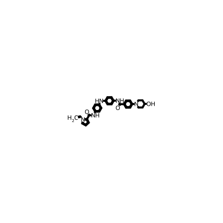 C=Cn1cccc1C(=O)Nc1ccc(Nc2ccc(NC(=O)c3ccc(N4CCC(O)CC4)cc3)cc2)cc1